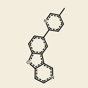 Cc1ccc(-c2ccc3oc4ccncc4c3c2)nc1